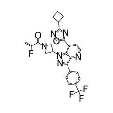 C=C(F)C(=O)N1CC(n2nc(-c3ccc(C(F)(F)F)cc3)c3nccc(-c4nc(C5CCC5)no4)c32)C1